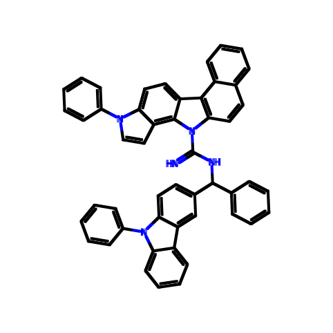 N=C(NC(c1ccccc1)c1ccc2c(c1)c1ccccc1n2-c1ccccc1)n1c2ccc3ccccc3c2c2ccc3c(ccn3-c3ccccc3)c21